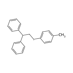 Cc1ccc([CH]CC(c2ccccc2)c2ccccc2)cc1